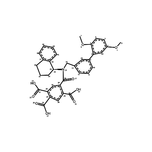 COc1ccc(OC)c(-c2cccc(CN(C(=O)c3cc(C(=O)O)c(C(=O)O)cc3C(=O)O)[C@H]3CCCc4ccccc43)c2)c1